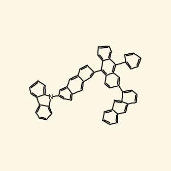 c1ccc(-c2c3ccccc3c(-c3ccc4cc5cc(-n6c7ccccc7c7ccccc76)ccc5cc4c3)c3ccc(-c4cccc5cc6ccccc6cc45)cc23)cc1